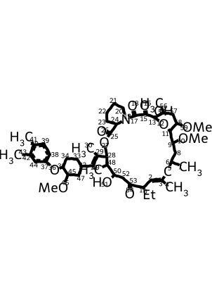 CCC1/C=C(\C)CC(C)CC(OC)C2OC(O)(C(=O)C(=O)N3CCCCC3C(=O)OC(C(C)=CC3CCC(Oc4ccc(C)c(C)c4)C(OC)C3)C(C)C(O)CC1=O)C(C)CC2OC